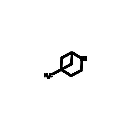 CC12CCNC(C1)C2